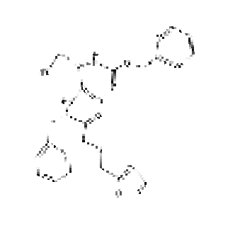 CC(C)C[C@H](NC(=O)OCc1ccccn1)C(=O)N[C@@H](Cc1ccccc1)C(=O)CSCc1ccco1